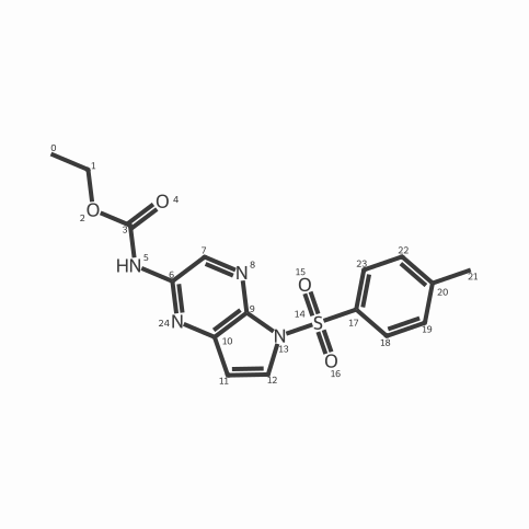 CCOC(=O)Nc1cnc2c(ccn2S(=O)(=O)c2ccc(C)cc2)n1